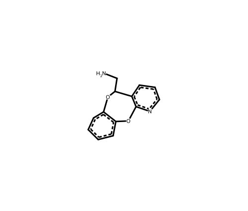 NCC1Oc2ccccc2Oc2ncccc21